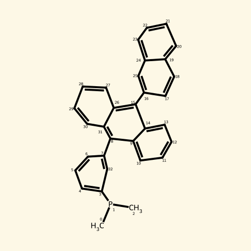 CP(C)c1cccc(-c2c3ccccc3c(-c3ccc4ccccc4c3)c3ccccc23)c1